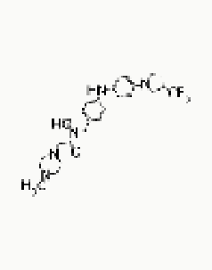 CN1CCN(CC(=O)N(O)Cc2ccc(Nc3ccc(N4CCC(C(F)(F)F)C4)cc3)cc2)CC1